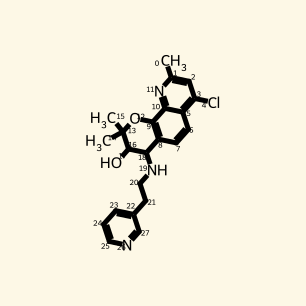 Cc1cc(Cl)c2ccc3c(c2n1)OC(C)(C)C(O)C3NCCc1cccnc1